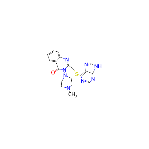 CN1CCN(n2c(CSc3ncnc4[nH]cnc34)nc3ccccc3c2=O)CC1